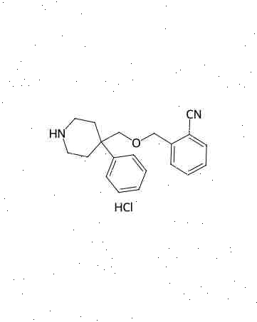 Cl.N#Cc1ccccc1COCC1(c2ccccc2)CCNCC1